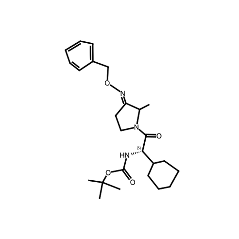 CC1C(=NOCc2ccccc2)CCN1C(=O)[C@@H](NC(=O)OC(C)(C)C)C1CCCCC1